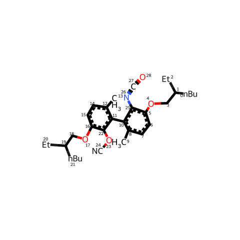 CCCCC(CC)COc1ccc(C)c(-c2c(C)ccc(OCC(CC)CCCC)c2OC#N)c1N=C=O